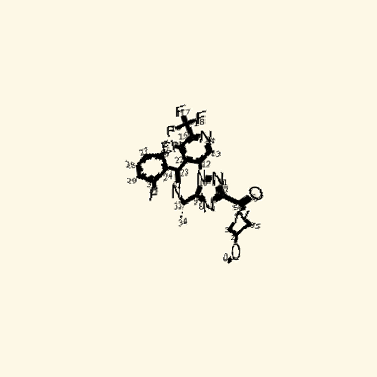 COC1CN(C(=O)c2nc3n(n2)-c2cnc(C(F)(F)F)c(Cl)c2C(c2c(F)cccc2F)=N[C@H]3C)C1